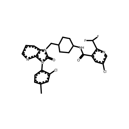 Cc1ccc(-n2c(=O)n(CC3CCC(NC(=O)c4cc(Cl)cnc4C(F)F)CC3)c3cccnc32)c(Cl)c1